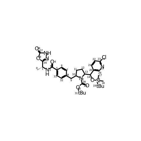 C[C@@H](NC(=O)c1ccc(CC2CCC(C(O[Si](C)(C)C(C)(C)C)c3ccc(Cl)nc3)N2C(=O)OC(C)(C)C)cc1)c1n[nH]c(=O)o1